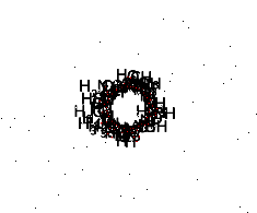 CCCC[C@H]1C(=O)N(C)[C@@H](CCCC)C(=O)N[C@@H](CCC(=O)O)C(=O)N[C@H](C(=O)NCC(N)=O)CSCC(=O)N[C@@H](Cc2ccc(OC)cc2)C(=O)N(C)[C@@H](C)C(=O)N[C@@H](CC(=O)O)C(=O)N2CCC[C@H]2C(=O)N[C@@H](Cc2cnc[nH]2)C(=O)N[C@@H](CCC(=O)O)C(=O)N2C[C@H](O)C[C@H]2C(=O)N[C@@H](Cc2c[nH]c3ccccc23)C(=O)N[C@@H](CC(=O)O)C(=O)N[C@@H](Cc2c[nH]c3ccccc23)C(=O)N1C